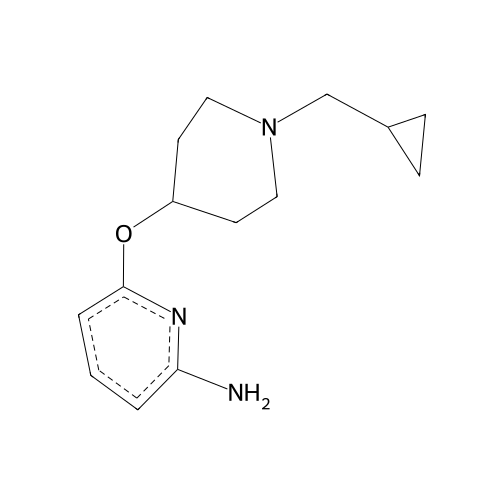 Nc1cccc(OC2CCN(CC3CC3)CC2)n1